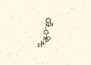 CCN(C)Cc1coc(-c2ccc(Cn3cnc4ccccc43)cc2)n1